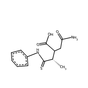 C[C@H](C(=S)Nc1ccccc1)C(CC(N)=O)C(=O)O